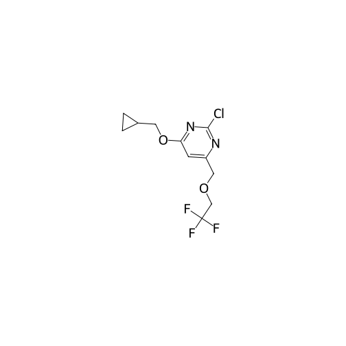 FC(F)(F)COCc1cc(OCC2CC2)nc(Cl)n1